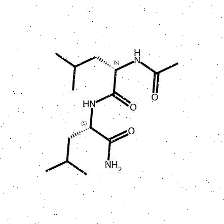 CC(=O)N[C@@H](CC(C)C)C(=O)N[C@@H](CC(C)C)C(N)=O